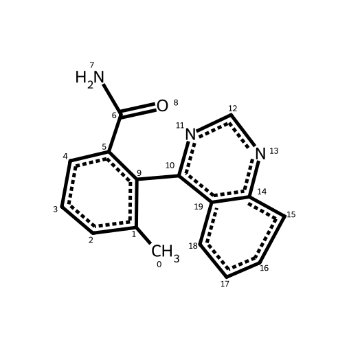 Cc1cccc(C(N)=O)c1-c1ncnc2ccccc12